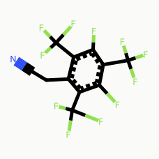 N#CCc1c(C(F)(F)F)c(F)c(C(F)(F)F)c(F)c1C(F)(F)F